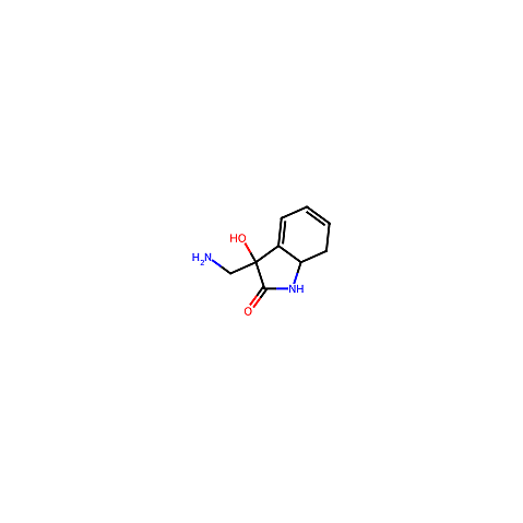 NCC1(O)C(=O)NC2CC=CC=C21